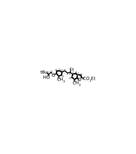 CCOC(=O)c1cc2cc(C(CC)CCc3ccc(OCC(O)C(C)(C)C)c(C)c3)cc(C)c2o1